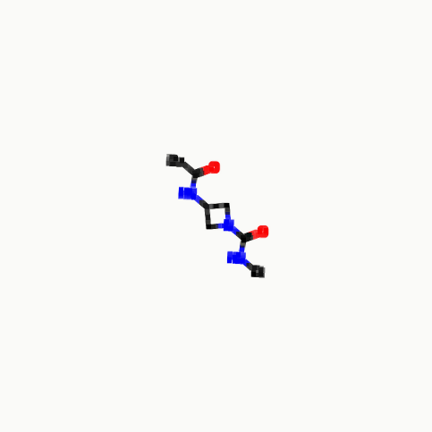 CCNC(=O)N1CC(NC(=O)C(C)CC)C1